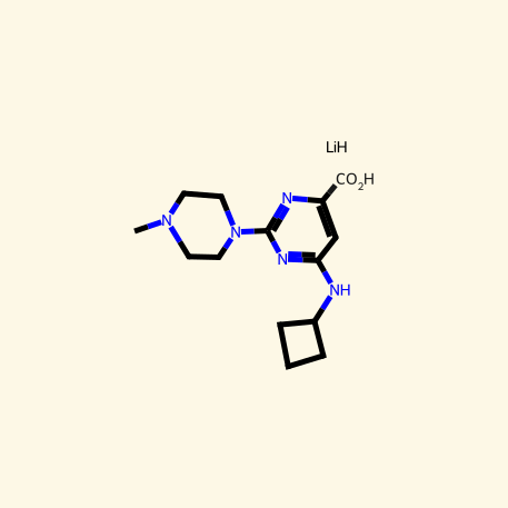 CN1CCN(c2nc(NC3CCC3)cc(C(=O)O)n2)CC1.[LiH]